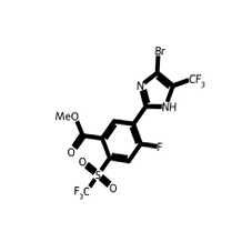 COC(=O)c1cc(-c2nc(Br)c(C(F)(F)F)[nH]2)c(F)cc1S(=O)(=O)C(F)(F)F